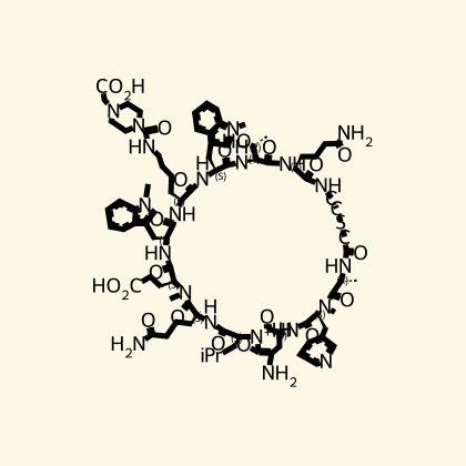 CC(C)C[C@H]1C(=O)N[C@@H](CCCC(N)=O)C(=O)N(C)[C@@H](CCC(=O)O)C(=O)N[C@@H](Cc2cn(C)c3ccccc23)C(=O)N[C@@H](CCCCNC(=O)N2CCN(CC(=O)O)CC2)C(=O)N[C@@H](Cc2cn(C)c3ccccc23)C(=O)N[C@@H]([C@@H](C)O)C(=O)N[C@@H](CCCC(N)=O)C(=O)NCCSCC(=O)N[C@H](C)C(=O)N(C)[C@@H](Cc2cccnc2)C(=O)N[C@H]2CC(N)=C3O[N+]31C2=O